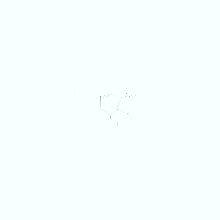 CCOC(=O)c1cc([N+](=O)[O-])c(NC(C)=O)c(C)c1C(=O)O